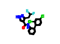 O=C(Nc1ccccc1-c1ccc(Cl)cc1Cl)c1c[nH]nc1CC(F)F